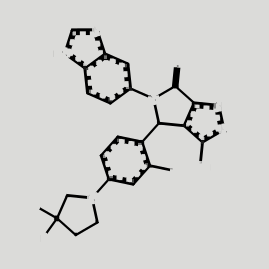 Cc1[nH]nc2c1C(c1ccc(N3CCC(F)(F)C3)cc1F)N(c1ccc3[nH]cnc3c1)C2=O